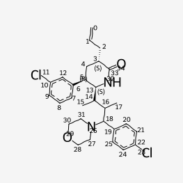 C=CC[C@H]1C[C@H](c2cccc(Cl)c2)[C@H](C(C)C(C)C(c2ccc(Cl)cc2)N2CCOCC2)NC1=O